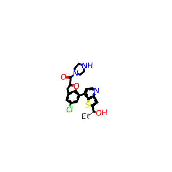 CC[C@@H](O)c1cc2nccc(-c3cc(Cl)cc4c3OC(C(=O)N3CCNCC3)C4)c2s1